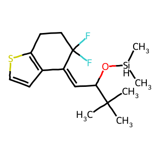 C[SiH](C)OC(C=C1c2ccsc2CCC1(F)F)C(C)(C)C